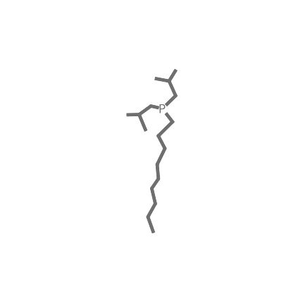 CCCCCCCCCP(CC(C)C)CC(C)C